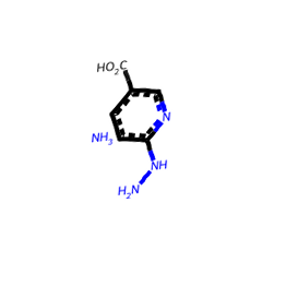 N.NNc1ccc(C(=O)O)cn1